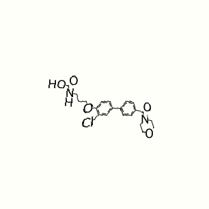 O=C(O)NCCCOc1ccc(-c2ccc(C(=O)N3CCOCC3)cc2)cc1Cl